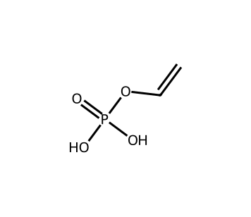 C=COP(=O)(O)O